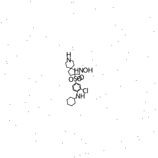 O=C(NO)C1(S(=O)(=O)c2ccc(NC3CCCCC3)c(Cl)c2)CCC2(CCNCC2)C1